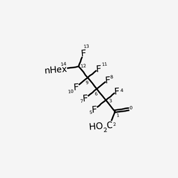 C=C(C(=O)O)C(F)(F)C(F)(F)C(F)(F)C(F)CCCCCC